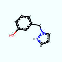 Oc1cccc(Cn2cccn2)c1